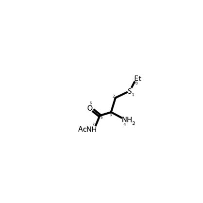 CCSCC(N)C(=O)NC(C)=O